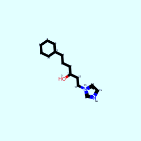 OC(CCCC1CCCCC1)CCn1ccnc1